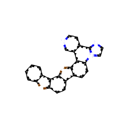 c1ccc2c(c1)sc1ccc3c4ccc5c(c6cnccc6c6nccn56)c4sc3c12